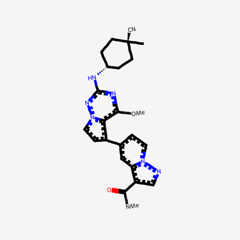 CNC(=O)c1cnn2ccc(-c3ccn4nc(N[C@H]5CC[C@](C)(C#N)CC5)nc(OC)c34)cc12